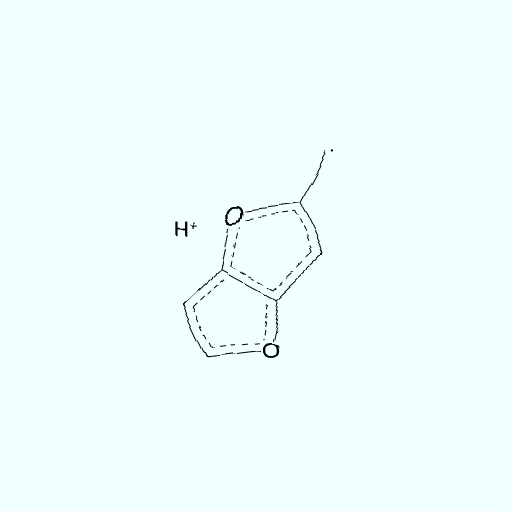 [CH2]c1cc2occc2o1.[H+]